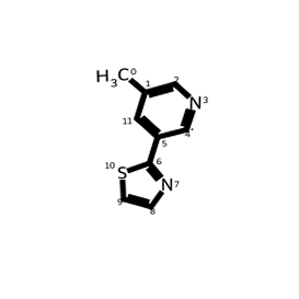 Cc1cn[c]c(-c2nccs2)c1